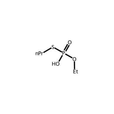 CCCSP(=O)(O)OCC